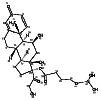 C[C@]12C=CC(=O)C=C1CC[C@@H]1[C@@H]2[C@@H](O)C[C@@]2(C)[C@H]1CC[C@]2(OC(=O)CCCON(O)O)C(=O)CO